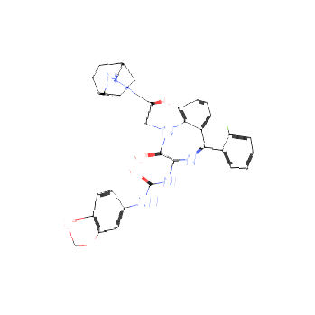 O=C(Nc1ccc2c(c1)OCO2)NC1N=C(c2ccccc2F)c2ccccc2N(CC(=O)N2CC3CCC(CC3)C2)C1=O